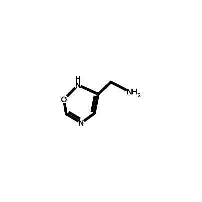 NCC1=CN=CON1